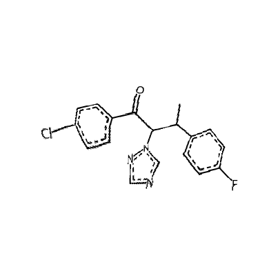 CC(c1ccc(F)cc1)C(C(=O)c1ccc(Cl)cc1)n1cncn1